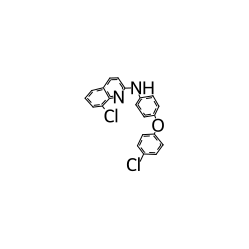 Clc1ccc(Oc2ccc(Nc3ccc4cccc(Cl)c4n3)cc2)cc1